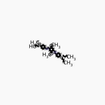 CCCCN(CCCC)c1ccc(/C=C/c2cc(OC)c(/C=C/c3ccc(N(CC)CCO)cc3)cc2OC)cc1